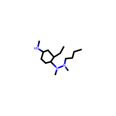 CCCCN(C)N(C)C1CCC(NC)CC1CC